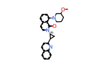 COC1CCCN(c2cccc3ccn([C@@H]4CC4c4ccc5ccccc5n4)c(=O)c23)C1